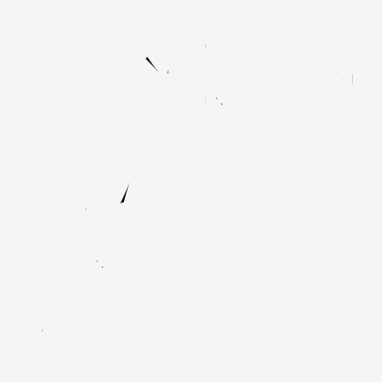 C[C@@H](C(=O)Nc1ccc(Cl)cc1)[C@H]1CC[C@H](COc2ccc(C(F)(F)F)cn2)CC1